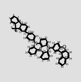 CC1(C)c2ccccc2-c2ccc(-c3ccc(N4c5ccccc5B5c6ccccc6N(c6ccc7oc8ccc9ccccc9c8c7c6)c6cccc4c65)cc3)cc21